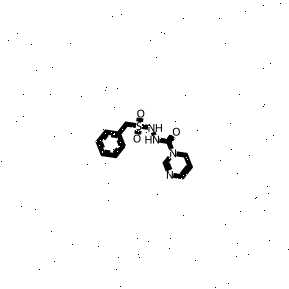 O=C(NNS(=O)(=O)Cc1ccccc1)N1C=NC=CC1